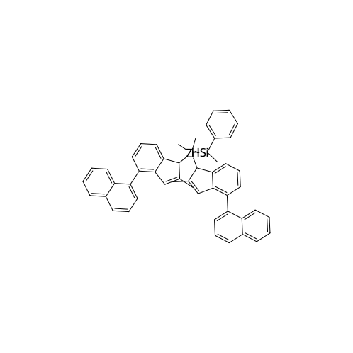 CC1=Cc2c(-c3cccc4ccccc34)cccc2[CH]1[Zr]([CH3])([CH3])([CH]1C(C)=Cc2c(-c3cccc4ccccc34)cccc21)[SiH](C)c1ccccc1